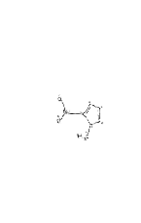 CC1C=CC=[C]1[Rh]([Cl])[Cl]